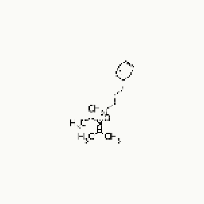 CC(C)[SiH](OCCCCC1CC2C=CC1C2)C(C)C